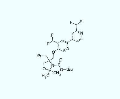 CC(C)CC1(COc2cnc(-c3ccnc(C(F)F)c3)cc2C(F)F)COC(C)(C)N1C(=O)OC(C)(C)C